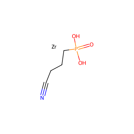 N#CCCCP(=O)(O)O.[Zr]